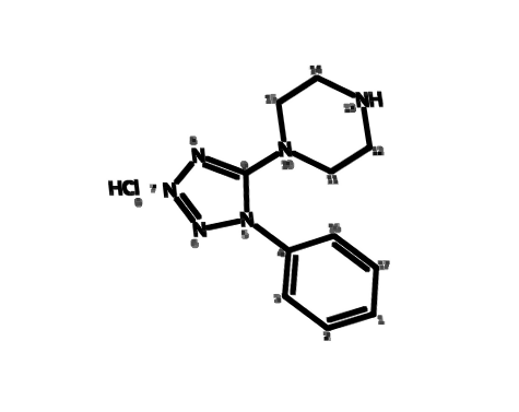 Cl.c1ccc(-n2nnnc2N2CCNCC2)cc1